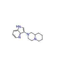 c1cnc2c(N3CCN4CCCCC4C3)c[nH]c2c1